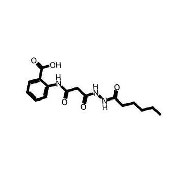 CCCCCC(=O)NNC(=O)CC(=O)Nc1ccccc1C(=O)O